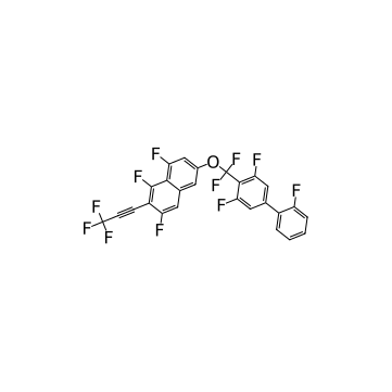 Fc1ccccc1-c1cc(F)c(C(F)(F)Oc2cc(F)c3c(F)c(C#CC(F)(F)F)c(F)cc3c2)c(F)c1